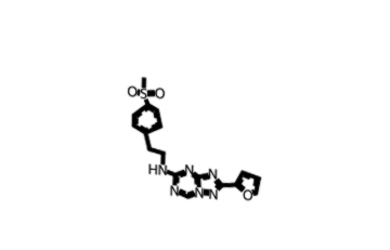 CS(=O)(=O)c1ccc(CCNc2ncn3nc(-c4ccco4)nc3n2)cc1